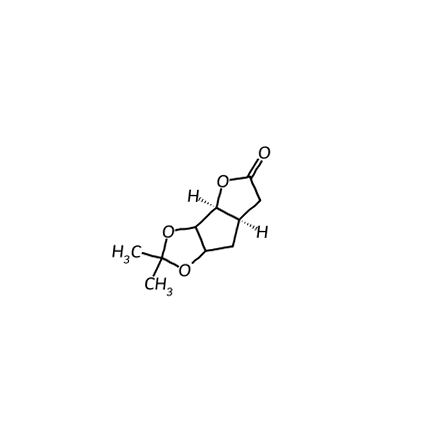 CC1(C)OC2C[C@@H]3CC(=O)O[C@@H]3C2O1